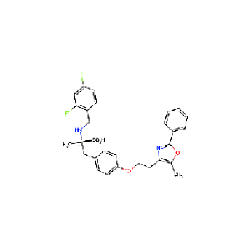 Cc1oc(-c2ccccc2)nc1CCOc1ccc(C[C@](C)(NCc2ccc(F)cc2F)C(=O)O)cc1